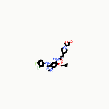 O=C(/C=C/C1CCN(C2COC(=O)C2)CC1)Nc1cc2c(Nc3ccc(F)c(Cl)c3)ncnc2cc1OCC1CC1